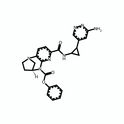 Nc1cc(C2CC2NC(=O)c2ccc3c(n2)N(C(=O)Oc2ccccc2)[C@H]2CCN3C2)cnn1